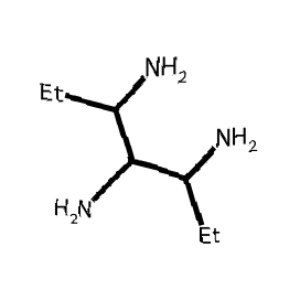 CCC(N)C(N)C(N)CC